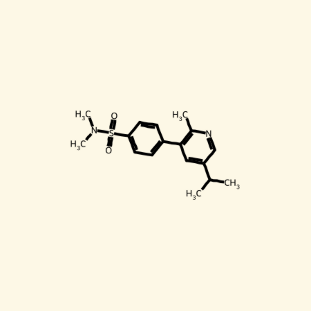 Cc1ncc(C(C)C)cc1-c1ccc(S(=O)(=O)N(C)C)cc1